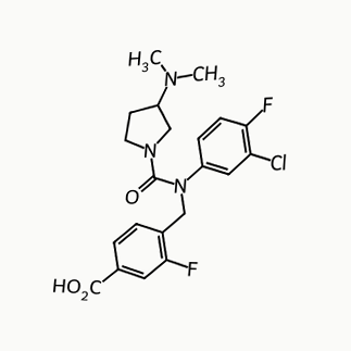 CN(C)C1CCN(C(=O)N(Cc2ccc(C(=O)O)cc2F)c2ccc(F)c(Cl)c2)C1